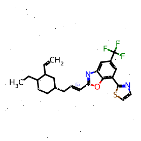 C=CC1CC(C/C=C/c2nc3cc(C(F)(F)F)cc(-c4nccs4)c3o2)CCC1CC